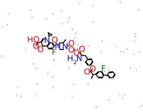 COc1c(N2CCN(C(=O)OCOC(=O)C(N)Cc3ccc(OC(=O)C(C)c4ccc(-c5ccccc5)c(F)c4)cc3)C(C)C2)c(F)cc2c(=O)c(C(=O)O)cn(C3CC3)c12